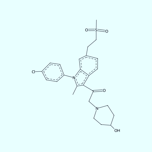 Cc1c(C(=O)CN2CCC(O)CC2)c2ccc(CCS(C)(=O)=O)cc2n1-c1ccc(Cl)cc1